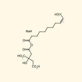 CCCCCCCC/C=C\CCCCCCCC(=O)OC(=O)CC(O)(CC(=O)O)C(=O)O.[NaH]